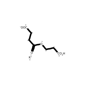 O=C([O-])CCC(=O)OCCC(=O)O.[K+]